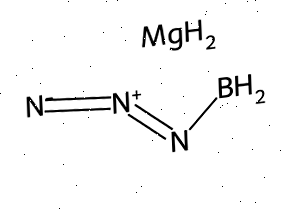 BN=[N+]=[N-].[MgH2]